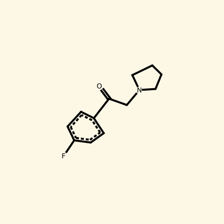 O=C(CN1CCCC1)c1ccc(F)cc1